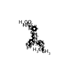 CC(=O)Nc1nc2c(Oc3cc(-c4ccc(C(F)(F)F)nc4NCC4CN(CC(C)C)CCO4)ncn3)cccc2s1